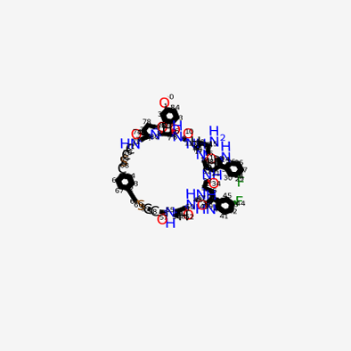 COc1ccc(O[C@@H]2NC(=O)N[C@@H]3C[C@H](N)CN3C(=O)[C@@H](Cc3c[nH]c4ccc(F)cc34)NC(=O)C(Cc3c[nH]c4ccc(F)cc34)NC(=O)NC(=O)[C@H](C)NC(=O)CCSCc3ccc(cc3)CSCCNC(=O)[C@]3(C)CCCN3C2=O)cc1